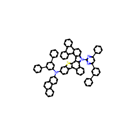 c1ccc(-c2cccc(-c3cc(-c4ccccc4)nc(-n4c5ccc6c7ccccc7c7ccccc7c6c5c5c6sc7cc(N(c8cc(-c9ccccc9)cc(-c9ccccc9)c8)c8ccc9c(ccc%10ccccc%109)c8)ccc7c6c6ccccc6c54)n3)c2)cc1